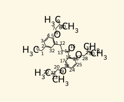 CCc1ccc(OCC(C)C)c(CCC(=O)c2cc(OCC(C)C)ccc2OCC(C)C)c1